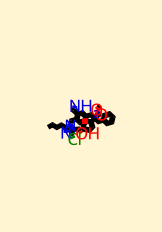 CCCCc1nc(Cl)c(CO)n1Cc1ccc(CC(Cc2ccccc2)(C(=O)OC)c2ccccc2)cc1CN